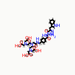 NC(Cc1c[nH]c2ccccc12)C(=O)NNC(=O)c1ccc(CNC(=O)CN(CCN(CC(=O)O)CC(=O)O)CCN(CC(=O)O)CC(=O)O)cc1